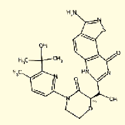 CC(C)(O)c1nc(N2CCO[C@H](C(O)c3nc(=O)c4c(ccc5c(N)nsc54)[nH]3)C2=O)ccc1C(F)(F)F